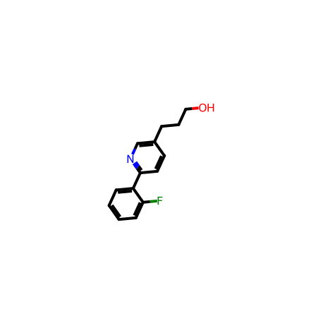 OCCCc1ccc(-c2ccccc2F)nc1